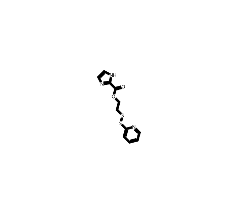 O=C(OCCSSc1ccccn1)c1ncc[nH]1